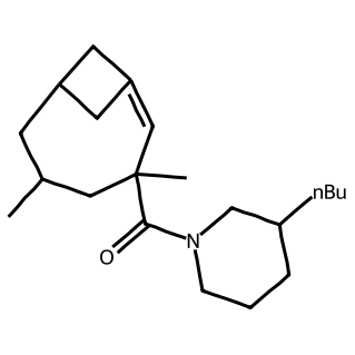 CCCCC1CCCN(C(=O)C2(C)C=C3CC(C3)CC(C)C2)C1